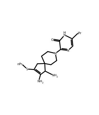 CCCSC1=C(N)C(N)C2(CCN(c3ncc(C(C)C)[nH]c3=O)CC2)C1